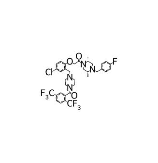 C[C@@H]1CN(Cc2ccc(F)cc2)[C@@H](C)CN1C(=O)COc1ccc(Cl)cc1CN1CCN(C(=O)c2cc(C(F)(F)F)ccc2C(F)(F)F)CC1